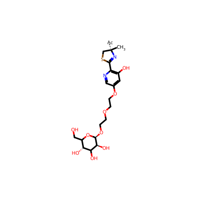 CC(=O)[C@@]1(C)CSC(c2ncc(OCCOCCO[C@@H]3OC(CO)[C@@H](O)C(O)[C@@H]3O)cc2O)=N1